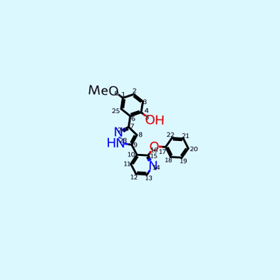 COc1ccc(O)c(-c2cc(-c3cccnc3Oc3ccccc3)[nH]n2)c1